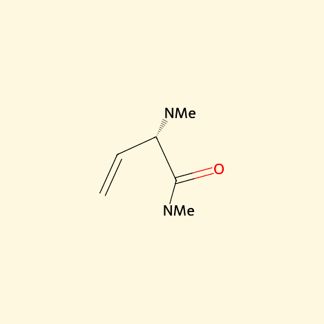 C=C[C@H](NC)C(=O)NC